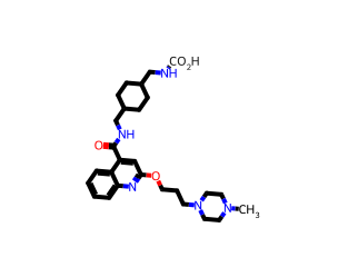 CN1CCN(CCCOc2cc(C(=O)NCC3CCC(CNC(=O)O)CC3)c3ccccc3n2)CC1